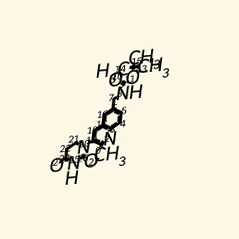 Cc1nc2ccc(CNC(=O)OC(C)(C)C)cc2cc1N1CCC(=O)NC1=O